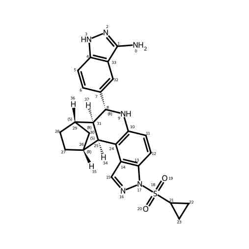 Nc1n[nH]c2ccc([C@@H]3Nc4ccc5c(cnn5S(=O)(=O)C5CC5)c4[C@H]4[C@@H]5CC[C@@H](C5)[C@H]43)cc12